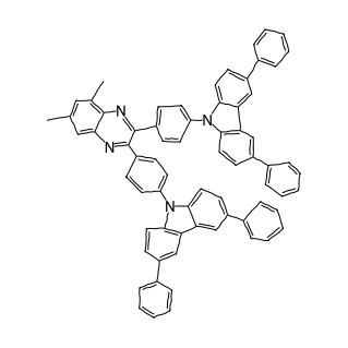 Cc1cc(C)c2nc(-c3ccc(-n4c5ccc(-c6ccccc6)cc5c5cc(-c6ccccc6)ccc54)cc3)c(-c3ccc(-n4c5ccc(-c6ccccc6)cc5c5cc(-c6ccccc6)ccc54)cc3)nc2c1